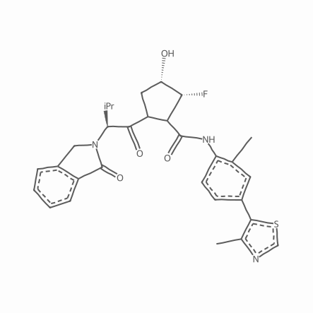 Cc1cc(-c2scnc2C)ccc1NC(=O)C1C(C(=O)[C@H](C(C)C)N2Cc3ccccc3C2=O)C[C@H](O)[C@@H]1F